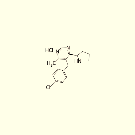 Cc1ncnc([C@H]2CCCN2)c1Cc1ccc(Cl)cc1.Cl